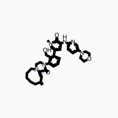 C=C1/C=C2/C(=O)N(c3cccc(-c4cc(Nc5ccc(N6CCOCC6)cn5)c(=O)n(C)c4)c3CO)CCN2CCCCC1